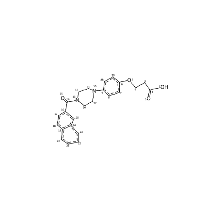 O=C(O)CCOc1ccc(N2CCN(C(=O)c3ccc4ccccc4c3)CC2)cc1